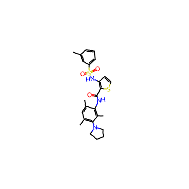 Cc1cccc(S(=O)(=O)Nc2ccsc2C(=O)Nc2c(C)cc(C)c(N3CCCC3)c2C)c1